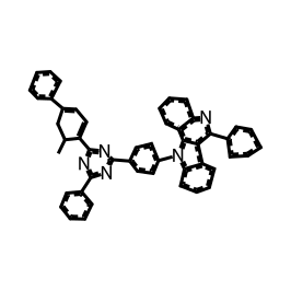 CC1CC(c2ccccc2)=CC=C1c1nc(-c2ccccc2)nc(-c2ccc(-n3c4ccccc4c4c(-c5ccccc5)nc5ccccc5c43)cc2)n1